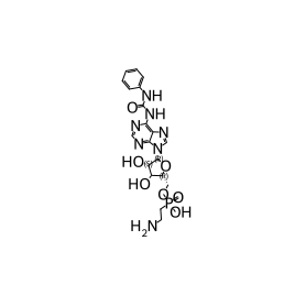 NCCP(=O)(O)OC[C@H]1O[C@@H](n2cnc3c(NC(=O)Nc4ccccc4)ncnc32)[C@@H](O)C1O